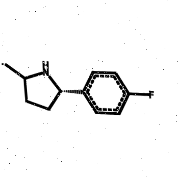 [CH2]C1CC[C@@H](c2ccc(F)cc2)N1